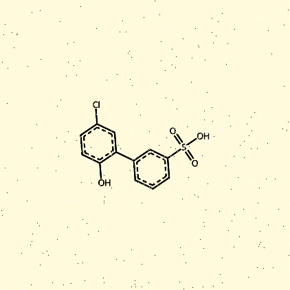 O=S(=O)(O)c1cccc(-c2cc(Cl)ccc2O)c1